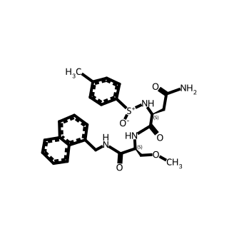 COC[C@H](NC(=O)[C@H](CC(N)=O)N[S+]([O-])c1ccc(C)cc1)C(=O)NCc1cccc2ccccc12